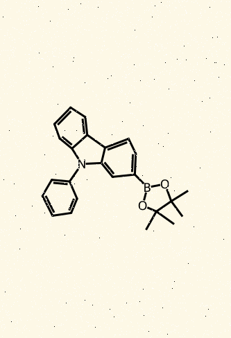 CC1(C)OB(c2ccc3c4ccccc4n(-c4ccccc4)c3c2)OC1(C)C